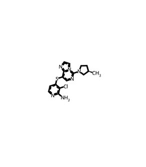 C[C@@H]1CCN(c2ncc(Sc3ccnc(N)c3Cl)c3nccn23)C1